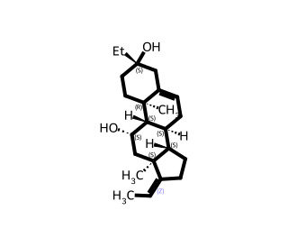 C/C=C1/CC[C@H]2[C@@H]3CC=C4C[C@](O)(CC)CC[C@]4(C)[C@H]3[C@@H](O)C[C@]12C